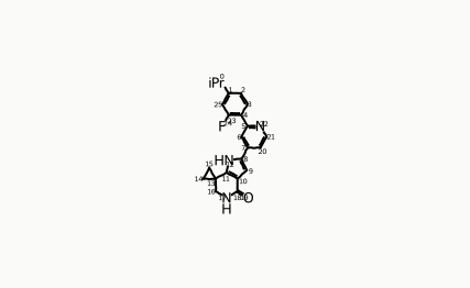 CC(C)c1ccc(-c2cc(-c3cc4c([nH]3)C3(CC3)CNC4=O)ccn2)c(F)c1